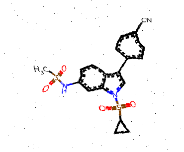 CS(=O)(=O)Nc1ccc2c(-c3ccc(C#N)cc3)cn(S(=O)(=O)C3CC3)c2c1